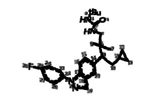 CC(C)(C)NC(=O)NCC(C)(C)C(CC1CC1)c1ccc2c(cnn2-c2ccc(F)cc2)c1